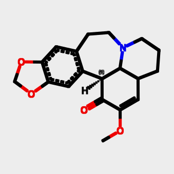 COC1=CC2CCCN3CCc4cc5c(cc4[C@H](C1=O)C23)OCO5